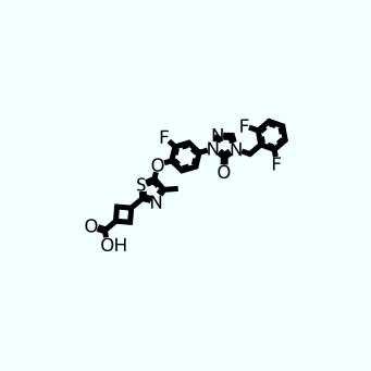 Cc1nc(C2CC(C(=O)O)C2)sc1Oc1ccc(-n2ncn(Cc3c(F)cccc3F)c2=O)cc1F